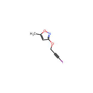 Cc1cc(OCC#CI)no1